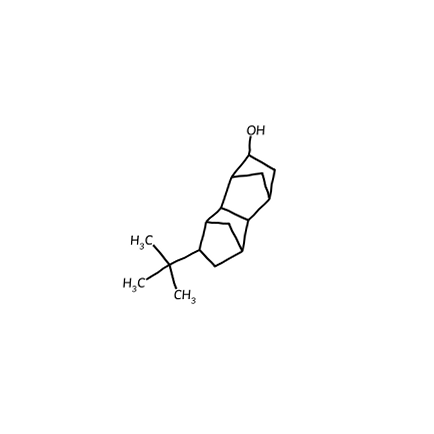 CC(C)(C)C1CC2CC1C1C3CC(CC3O)C21